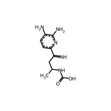 CC(CC(=N)c1ccc(N)c(N)n1)NC(=O)O